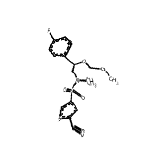 COCOC(CN(C)S(=O)(=O)c1csc(C=O)c1)c1ccc(F)cc1